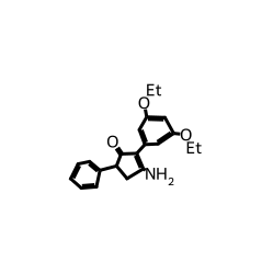 CCOc1cc(OCC)cc(C2=C(N)CC(c3ccccc3)C2=O)c1